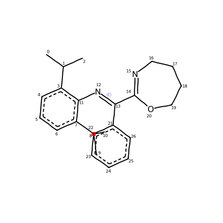 CC(C)c1cccc(C(C)C)c1/N=C(/C1=NCCCCO1)c1ccccc1